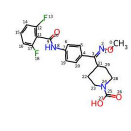 CON=C(c1ccc(NC(=O)c2c(F)cccc2F)cc1)C1CCN(C(=O)O)CC1